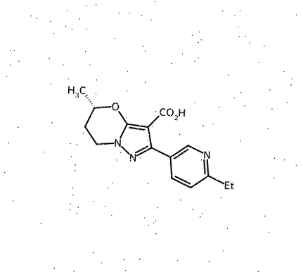 CCc1ccc(-c2nn3c(c2C(=O)O)O[C@@H](C)CC3)cn1